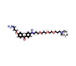 CC(C)(C)N(CCCOCCOCCCOCCCNc1ccc(C(=O)c2ccc(OCCCN)cc2)cc1)C(=O)O